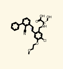 COCCOc1cc(/C=C/c2cccc(-c3ccccc3)c2C#N)c(CN[C@@H](CO)C(=O)O)cc1Cl